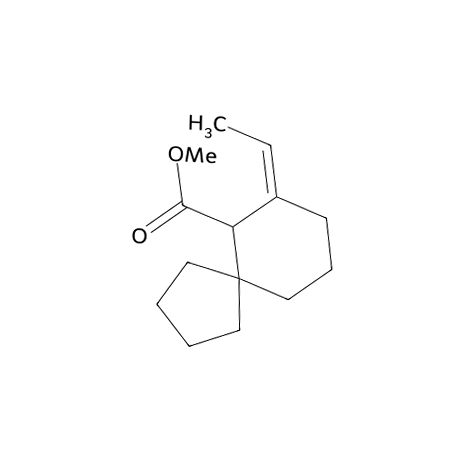 C/C=C1/CCCC2(CCCC2)C1C(=O)OC